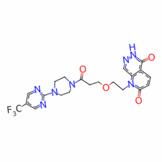 O=C(CCOCCn1c(=O)ccc2c(=O)[nH]ncc21)N1CCN(c2ncc(C(F)(F)F)cn2)CC1